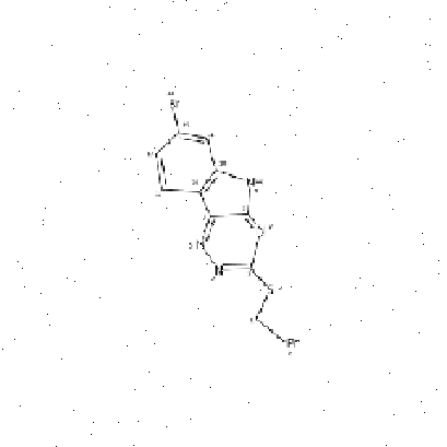 CC(C)CSc1nnc2c(n1)[nH]c1cc(Br)ccc12